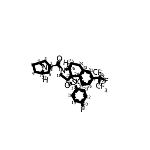 O=C([C@@H]1CC2CC[C@H](C1)N2)N1CC[C@@]2(S(=O)(=O)c3ccc(F)cc3)c3ccc(C(F)(C(F)(F)F)C(F)(F)F)cc3CC[C@@H]12